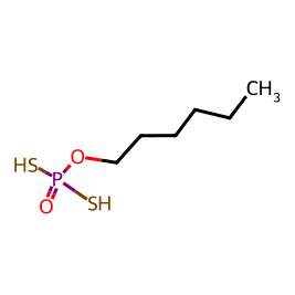 CCCCCCOP(=O)(S)S